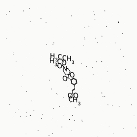 COC(=O)C=Cc1ccc2c(c1)C(=O)C1(CCN(C(=O)OC(C)(C)C)CC1)O2